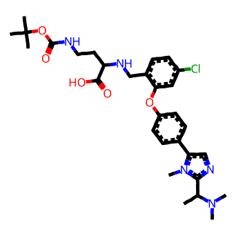 CC(c1ncc(-c2ccc(Oc3cc(Cl)ccc3CNC(CCNC(=O)OC(C)(C)C)C(=O)O)cc2)n1C)N(C)C